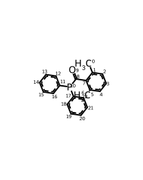 Cc1cccc(C)c1C(=O)P(c1ccccc1)c1ccccc1